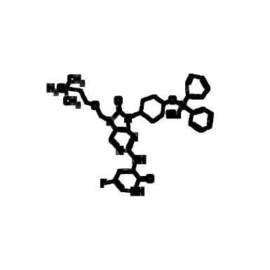 CC(C)(C)[Si](OC1CCC(n2c(=O)n(COCC[Si](C)(C)C)c3cnc(Nc4cc(F)c[nH]c4=O)nc32)CC1)(c1ccccc1)c1ccccc1